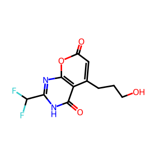 O=c1cc(CCCO)c2c(=O)[nH]c(C(F)F)nc2o1